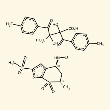 CCN[C@H]1C[C@H](C)S(=O)(=O)c2sc(S(N)(=O)=O)cc21.Cc1ccc(C(=O)C(O)(C(=O)O)C(O)(C(=O)O)C(=O)c2ccc(C)cc2)cc1